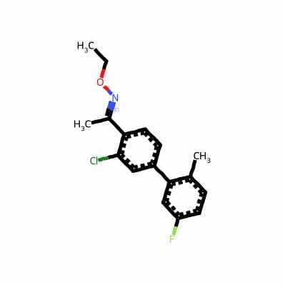 CCO/N=C(\C)c1ccc(-c2cc(F)ccc2C)cc1Cl